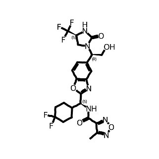 Cc1nonc1C(=O)N[C@H](c1nc2cc([C@H](CO)N3C[C@@H](C(F)(F)F)NC3=O)ccc2o1)C1CCC(F)(F)CC1